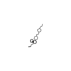 C=CCCC(=O)OC1CCC(CCC2CCC(CCC)CC2)CC1